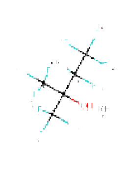 OC(C(F)(F)F)(C(F)(F)F)C(F)(F)C(F)(F)F.[KH]